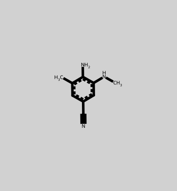 CNc1cc(C#N)cc(C)c1N